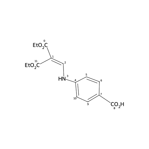 CCOC(=O)C(=CNc1ccc(C(=O)O)cc1)C(=O)OCC